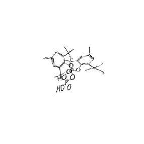 Cc1cc(C(C)(C)C)c(OP(=O)(Oc2c(C(C)(C)C)cc(C)cc2C(C)(C)C)OP(=O)(O)O)c(C(C)(C)C)c1